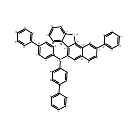 c1ccc(-c2ccc(N(c3ccc(-c4ccccc4)cc3)c3cc4ccc(-c5ccccc5)cc4c4oc5ccccc5c34)cc2)cc1